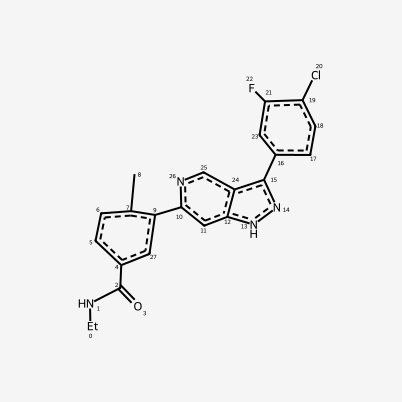 CCNC(=O)c1ccc(C)c(-c2cc3[nH]nc(-c4ccc(Cl)c(F)c4)c3cn2)c1